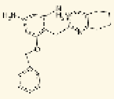 Nc1cc(N)c(Cc2ncc3c(n2)CCCC3)c(OCc2ccccc2)c1